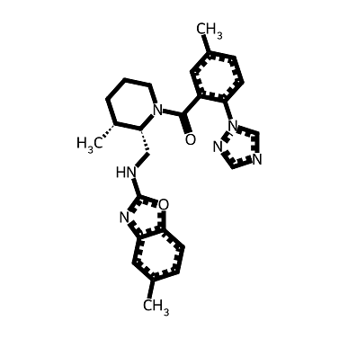 Cc1ccc(-n2cncn2)c(C(=O)N2CCC[C@@H](C)[C@H]2CNc2nc3cc(C)ccc3o2)c1